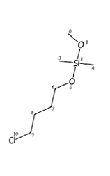 CO[Si](C)(C)OCCCCCl